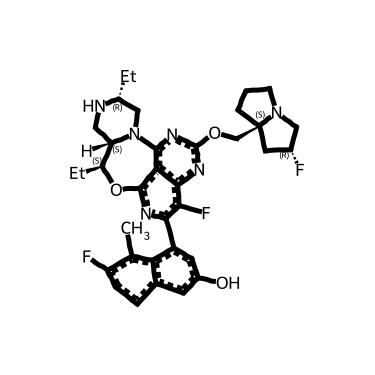 CC[C@@H]1CN2c3nc(OC[C@@]45CCCN4C[C@H](F)C5)nc4c(F)c(-c5cc(O)cc6ccc(F)c(C)c56)nc(c34)O[C@@H](CC)[C@@H]2CN1